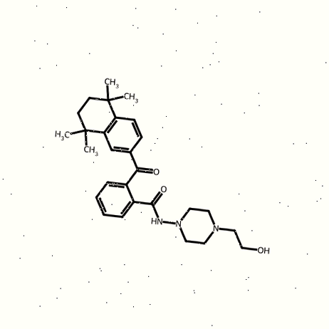 CC1(C)CCC(C)(C)c2cc(C(=O)c3ccccc3C(=O)NN3CCN(CCO)CC3)ccc21